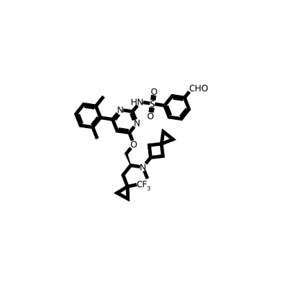 Cc1cccc(C)c1-c1cc(OC[C@H](CC2(C(F)(F)F)CC2)N(C)C2CC3(CC3)C2)nc(NS(=O)(=O)c2cccc(C=O)c2)n1